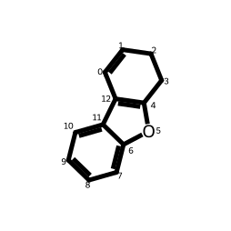 [C]1=CCCc2oc3ccccc3c21